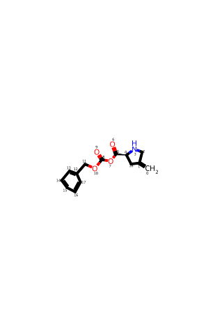 C=C1CN[C@H](C(=O)OC(=O)OCc2ccccc2)C1